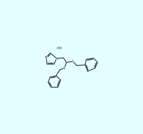 Cl.c1ccc(CSC(Cn2ccnc2)SCc2ccccc2)cc1